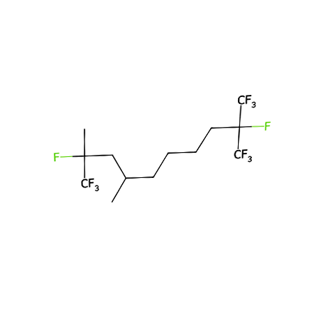 CC(CCCCC(F)(C(F)(F)F)C(F)(F)F)CC(C)(F)C(F)(F)F